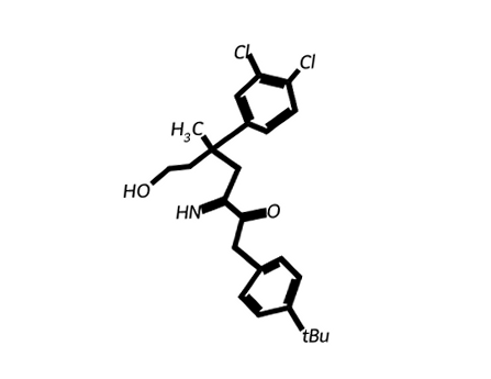 CC(C)(C)c1ccc(CC(=O)C(=N)CC(C)(CCO)c2ccc(Cl)c(Cl)c2)cc1